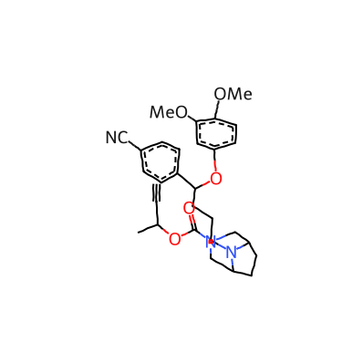 C#CC(C)OC(=O)N1CC2CCC(C1)N2CCCC(Oc1ccc(OC)c(OC)c1)c1ccc(C#N)cc1